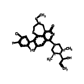 C=CC(O)N1[C@H](C)CN(c2nc(=O)n3c4c(c(-c5cc(Cl)c(F)cc5F)c(Cl)cc24)SC[C@@H](OC)C3)C[C@@H]1C